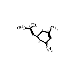 CC/C(C=O)=C\C1CC(C)=CC(C)C1